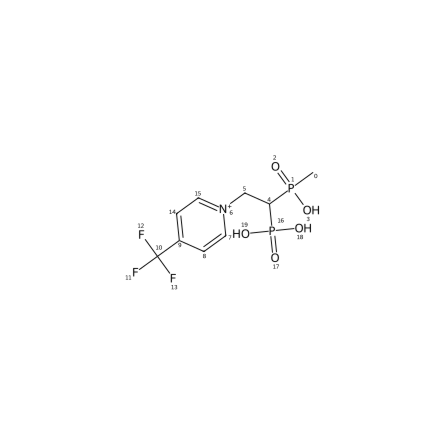 CP(=O)(O)C(C[n+]1ccc(C(F)(F)F)cc1)P(=O)(O)O